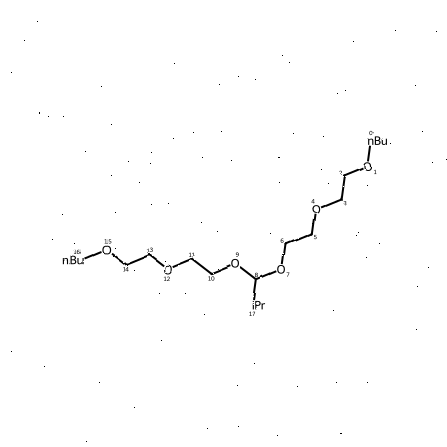 CCCCOCCOCCOC(OCCOCCOCCCC)C(C)C